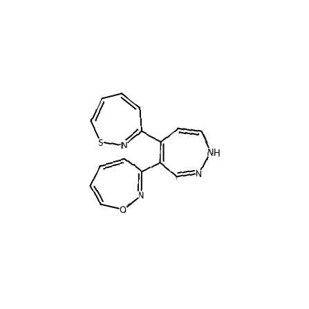 [C]1=NNC=CC(C2=NSC=CC=C2)=C1C1=NOC=CC=C1